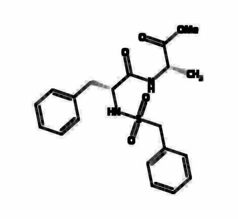 COC(=O)[C@H](C)NC(=O)[C@@H](Cc1ccccc1)NS(=O)(=O)Cc1ccccc1